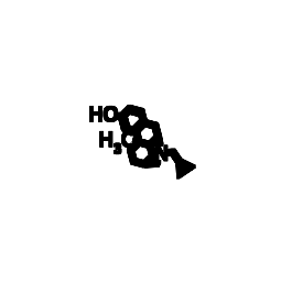 CC12CCC3CC1C(Cc1ccc(O)cc12)N(CC1CC1)C3